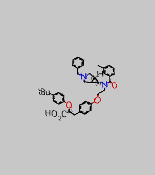 Cc1cccc(C(=O)N(CCOc2ccc(C[C@H](Oc3ccc(C(C)(C)C)cc3)C(=O)O)cc2)[C@@H]2C3CN(Cc4ccccc4)C[C@H]32)c1